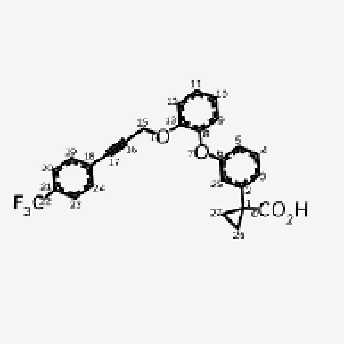 O=C(O)C1(c2cccc(Oc3ccccc3OCC#Cc3ccc(C(F)(F)F)cc3)c2)CC1